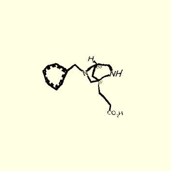 O=C(O)CC[C@@]12C[C@@H](CN1)N(Cc1ccccc1)C2